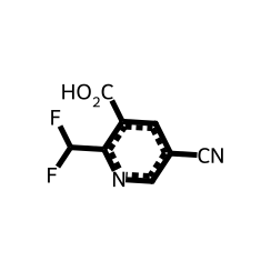 N#Cc1cnc(C(F)F)c(C(=O)O)c1